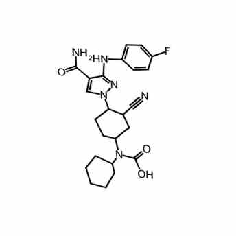 N#CC1CC(N(C(=O)O)C2CCCCC2)CCC1n1cc(C(N)=O)c(Nc2ccc(F)cc2)n1